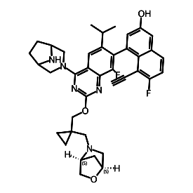 C#Cc1c(F)ccc2cc(O)cc(-c3c(C(C)C)cc4c(N5CC6CCC(C5)N6)nc(OCC5(CN6C[C@@H]7C[C@H]6CO7)CC5)nc4c3F)c12